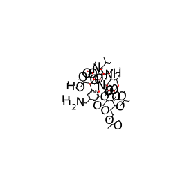 CC[C@H](C)[C@@H]([C@@H](CC(=O)O)OC)N(C)C(=O)[C@@H](NC(=O)[C@H](C(C)C)N(C)C(=O)OCc1ccc(O[C@@H]2O[C@H](COC(C)=O)[C@H](OC(C)=O)[C@H](OC(C)=O)[C@H]2OC(C)=O)c(CN)c1)C(C)C